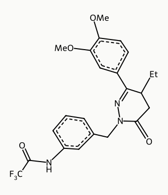 CCC1CC(=O)N(Cc2cccc(NC(=O)C(F)(F)F)c2)N=C1c1ccc(OC)c(OC)c1